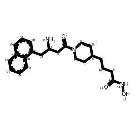 NC(CC(=O)N1CCC(CCCC(=O)NO)CC1)Cc1cccc2ccccc12